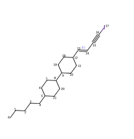 CCCCCC1CCC(C2CCC(/C=C/C#CI)CC2)CC1